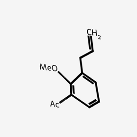 C=CCc1cccc(C(C)=O)c1OC